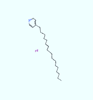 CCCCCCCCCCCCCCCCCc1ccncc1.I